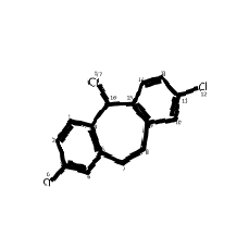 Clc1ccc2c(c1)CCc1cc(Cl)ccc1C2Cl